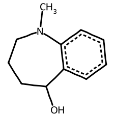 CN1CCCC(O)c2ccccc21